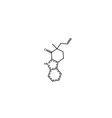 C=CCC1(C)CCc2c([nH]c3ccccc23)C1=O